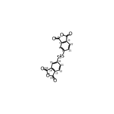 O=C1OC(=O)c2cc(SSc3ccc4c(c3)C(=O)OC4=O)ccc21